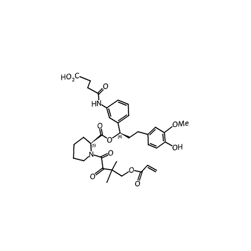 C=CC(=O)OCC(C)(C)C(=O)C(=O)N1CCCC[C@H]1C(=O)O[C@H](CCc1ccc(O)c(OC)c1)c1cccc(NC(=O)CCC(=O)O)c1